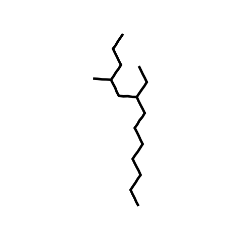 CCCCCCCC(CC)CC(C)CCC